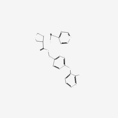 O=C(N[C@@]1(C(=O)NCc2ccc(Nc3ccccc3C(F)(F)F)cc2)CCOC1)c1ccncc1